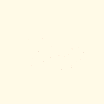 c1ccc2c(c1)ccc1c2c2c3ccccc3ccc2n1-c1ccc2[nH]c3ccccc3c2c1